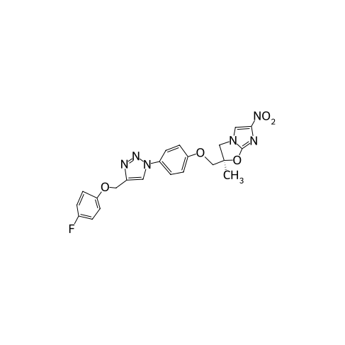 C[C@]1(COc2ccc(-n3cc(COc4ccc(F)cc4)nn3)cc2)Cn2cc([N+](=O)[O-])nc2O1